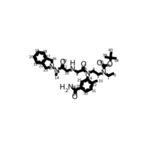 CCN(CCN(C(=O)CNCC(=O)N(C)N1Cc2ccccc2C1)c1cc(C(N)=O)ccc1C)C(=O)OC(C)(C)C